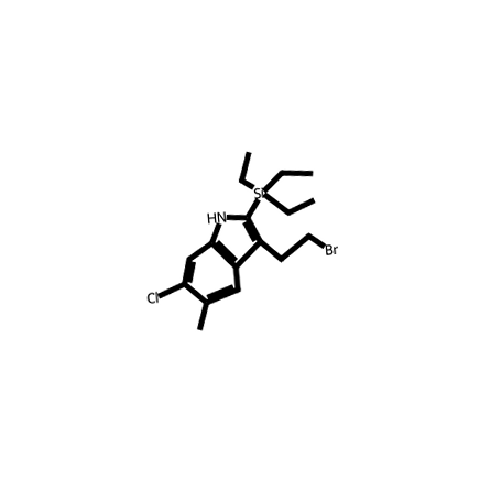 CC[Si](CC)(CC)c1[nH]c2cc(Cl)c(C)cc2c1CCBr